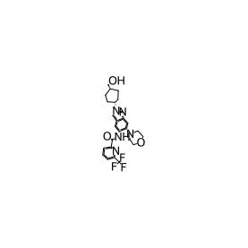 O=C(Nc1cc2cn([C@H]3CC[C@H](CO)CC3)nc2cc1N1CCOCC1)c1cccc(C(F)(F)F)n1